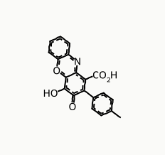 Cc1ccc(-c2c(C(=O)O)c3nc4ccccc4oc-3c(O)c2=O)cc1